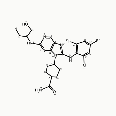 CCC(CO)Nc1ncc2nc(Nc3c(F)cc(F)cc3Cl)n(C3CCC(C(N)=O)CC3)c2n1